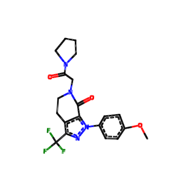 COc1ccc(-n2nc(C(F)(F)F)c3c2C(=O)N(CC(=O)N2CCCC2)CC3)cc1